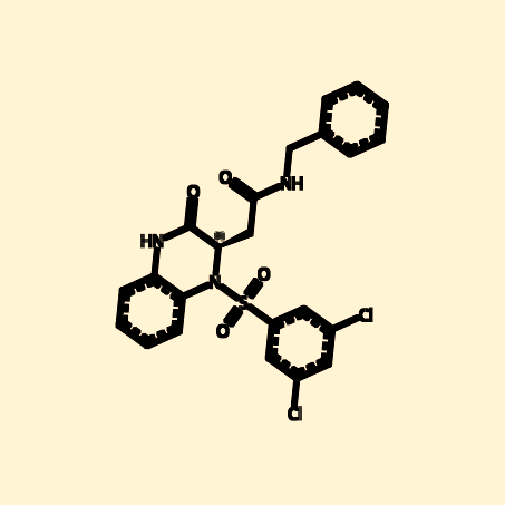 O=C(C[C@@H]1C(=O)Nc2ccccc2N1S(=O)(=O)c1cc(Cl)cc(Cl)c1)NCc1ccccc1